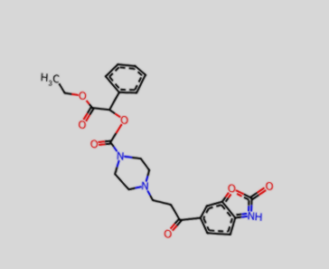 CCOC(=O)C(OC(=O)N1CCN(CCC(=O)c2ccc3[nH]c(=O)oc3c2)CC1)c1ccccc1